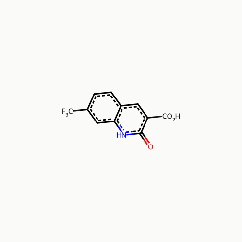 O=C(O)c1cc2ccc(C(F)(F)F)cc2[nH]c1=O